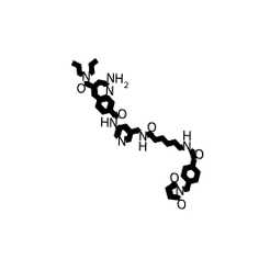 CCCN(CCC)C(=O)C1=Cc2ccc(C(=O)Nc3cncc(CNC(=O)CCCCCNC4OC4C4CCC(CN5C(=O)C=CC5=O)CC4)c3)cc2N=C(N)C1